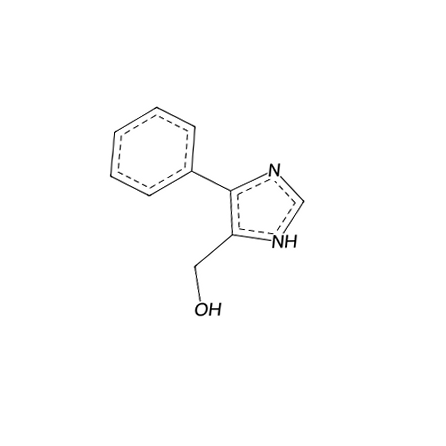 OCc1[nH]cnc1-c1ccccc1